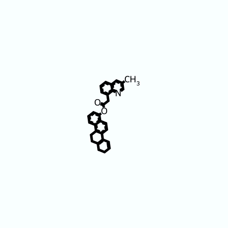 Cc1cnc2c(CC(=O)Oc3cccc4c5c(ccc34)C3=C(CCC=C3)CC5)cccc2c1